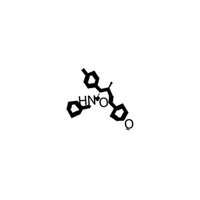 COc1ccc(/C=C/[C@H](C)[C@H](C(=O)NCc2ccccc2)c2ccc(C)cc2)cc1